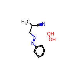 CC(C#N)CN=Nc1ccccc1.OO